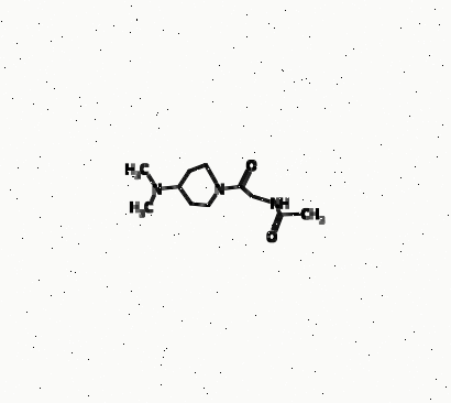 CC(=O)NCC(=O)N1CCC(N(C)C)CC1